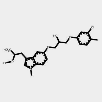 CC(C)OC(Cc1cn(C)c2ccc(OCC(O)COc3ccc(F)c(Cl)c3)cc12)C(=O)O